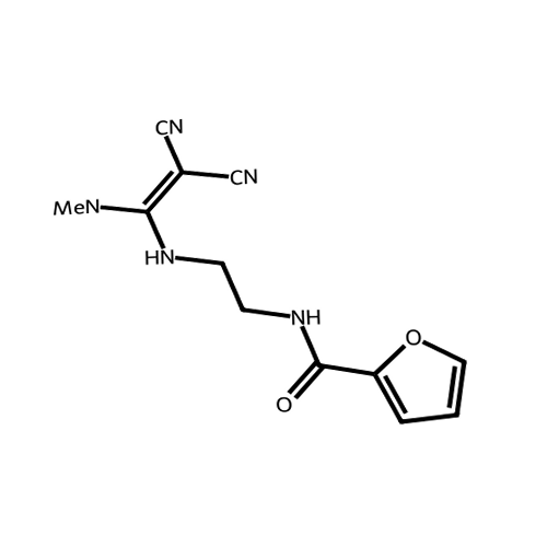 CNC(NCCNC(=O)c1ccco1)=C(C#N)C#N